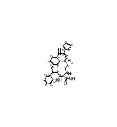 CCCC1=NNC(=O)/C1=C1/C=C(Sc2ccc(NC(=O)c3ccco3)cc2)c2ccccc2N1